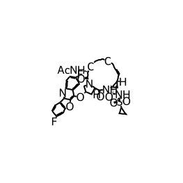 CC(=O)N[C@H]1CCCCC/C=C\[C@@H]2C[C@@]2(C(=O)NS(=O)(=O)C2CC2)NC(=O)[C@@H]2C[C@@H](Oc3c4cc(F)ccc4nc4c3oc3cc(F)ccc34)CN2C1=O